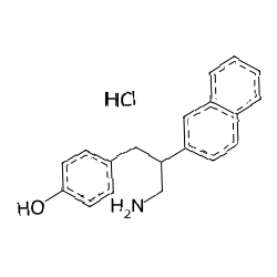 Cl.NCC(Cc1ccc(O)cc1)c1ccc2ccccc2c1